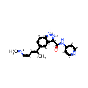 C=N/C=C\C=C(/C)c1ccc2[nH]nc(C(=O)Nc3ccncc3)c2c1